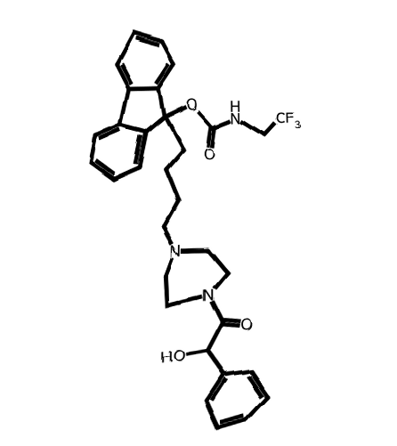 O=C(NCC(F)(F)F)OC1(CCCCN2CCN(C(=O)C(O)c3ccccc3)CC2)c2ccccc2-c2ccccc21